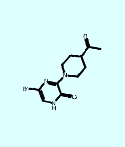 CC(=O)C1CCN(c2nc(Br)c[nH]c2=O)CC1